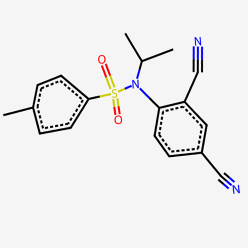 Cc1ccc(S(=O)(=O)N(c2ccc(C#N)cc2C#N)C(C)C)cc1